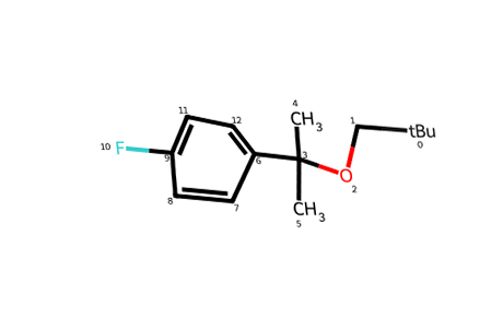 CC(C)(C)COC(C)(C)c1ccc(F)cc1